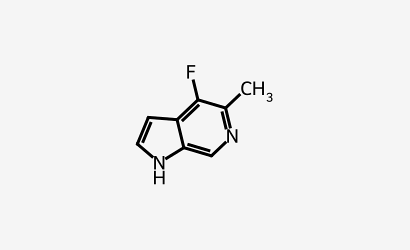 Cc1ncc2[nH]ccc2c1F